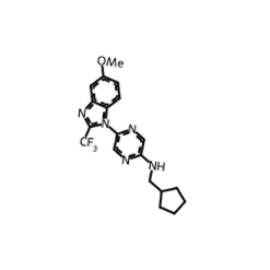 COc1ccc2c(c1)nc(C(F)(F)F)n2-c1cnc(NCC2CCCC2)cn1